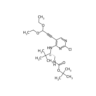 CCOC(C#Cc1cnc(Cl)nc1N[C@H](CNC(=O)OC(C)(C)C)C(C)(C)C)OCC